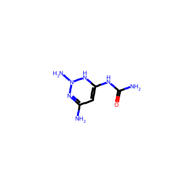 NC(=O)NC1=CC(N)=NN(N)N1